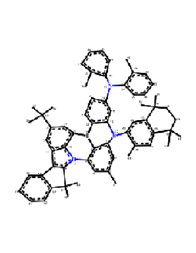 Cc1cc2c3c(c1)-n1c4c(c5cc(C(C)(C)C)cc(c51)B3c1ccc(N(c3ccccc3C)c3ccccc3C)cc1N2c1cc2c(cc1C)C(C)(C)CCC2(C)C)-c1ccccc1C4(C)C